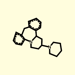 c1ccc2c(c1)Cc1ccccc1N1CCC(N3CCCCC3)CC21